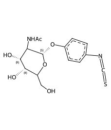 CC(=O)NC1[C@H](Oc2ccc(N=C=S)cc2)OC(CO)[C@H](O)[C@@H]1O